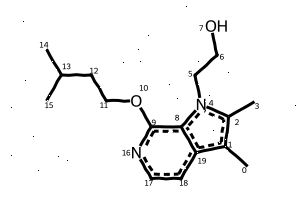 Cc1c(C)n(CCO)c2c(OCCC(C)C)nccc12